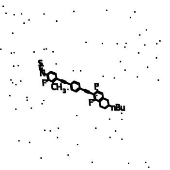 CCCCC1CCc2c(cc(F)c(C#Cc3ccc(C#Cc4ccc(N=C=S)c(F)c4C)cc3)c2F)C1